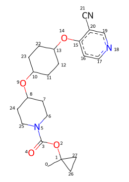 CC1(OC(=O)N2CCC(OC3CCC(Oc4ccncc4C#N)CC3)CC2)CC1